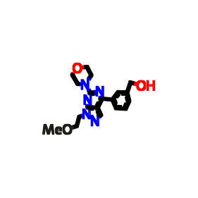 COCCn1ncc2c(-c3cccc(CO)c3)nc(N3CCOCC3)nc21